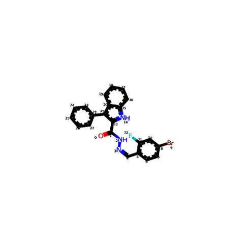 O=C(N/N=C\c1ccc(Br)cc1F)c1[nH]c2ccccc2c1-c1ccccc1